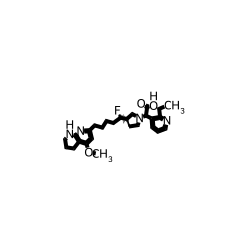 CCc1ncccc1C(C(=O)O)N1CC[C@@H]([C@H](F)CCCCc2cc(OC)c3c(n2)NCCC3)C1